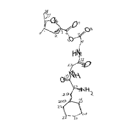 Cc1cc(C(=O)OC(=O)CNC(=O)CNC(=O)[C@@H](N)CC2CCCCC2)oc1C